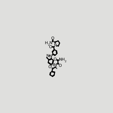 C[C@H](NC(=O)C(N)=O)[C@@H](Oc1ccc2c(cnn2-c2cccc(C(=O)N3CCC[C@@H]3C(N)=O)c2)c1)c1ccccc1